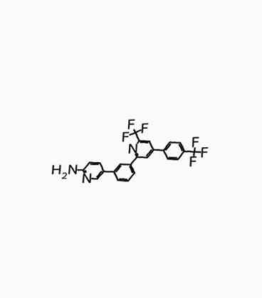 Nc1ccc(-c2cccc(-c3cc(-c4ccc(C(F)(F)F)cc4)cc(C(F)(F)F)n3)c2)cn1